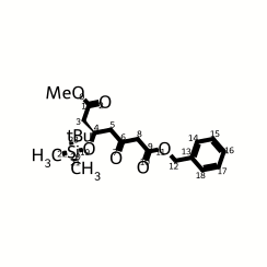 COC(=O)C[C@@H](CC(=O)CC(=O)OCc1ccccc1)O[Si](C)(C)C(C)(C)C